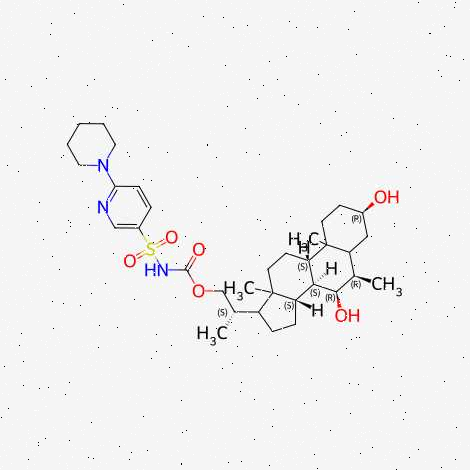 C[C@H](COC(=O)NS(=O)(=O)c1ccc(N2CCCCC2)nc1)C1CC[C@H]2[C@@H]3[C@H](O)[C@H](C)C4C[C@H](O)CCC4(C)[C@H]3CCC12C